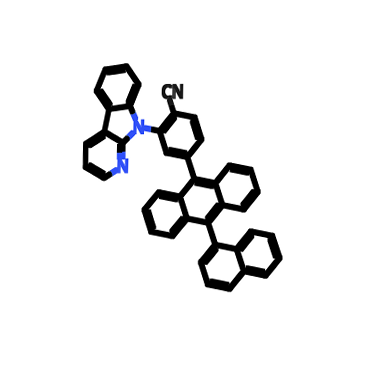 N#Cc1ccc(-c2c3ccccc3c(-c3cccc4ccccc34)c3ccccc23)cc1-n1c2ccccc2c2cccnc21